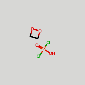 C1COO1.O=P(O)(Cl)Cl